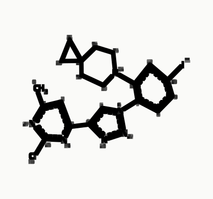 Cc1cc(-c2cn(-c3ccc(I)cc3N3CCC4(CC3)CC4)nn2)nc(Cl)n1